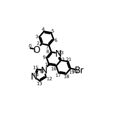 COc1ccccc1-c1cc(-n2ccnc2)c2ccc(Br)cc2n1